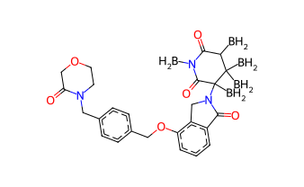 BC1C(=O)N(B)C(=O)C(B)(N2Cc3c(OCc4ccc(CN5CCOCC5=O)cc4)cccc3C2=O)C1(B)B